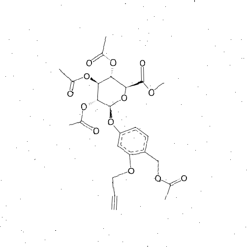 C#CCOc1cc(O[C@@H]2O[C@H](C(=O)OC)[C@@H](OC(C)=O)[C@H](OC(C)=O)[C@H]2OC(C)=O)ccc1COC(C)=O